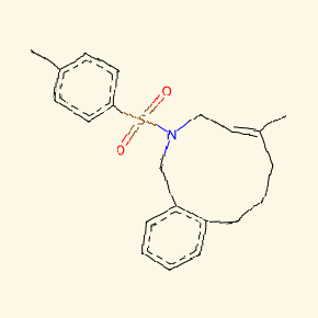 C/C1=C\CN(S(=O)(=O)c2ccc(C)cc2)Cc2ccccc2CCC1